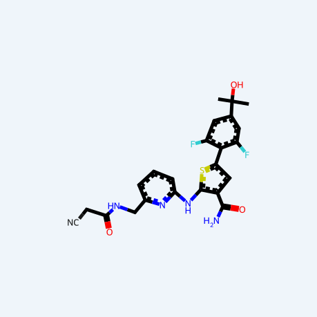 CC(C)(O)c1cc(F)c(-c2cc(C(N)=O)c(Nc3cccc(CNC(=O)CC#N)n3)s2)c(F)c1